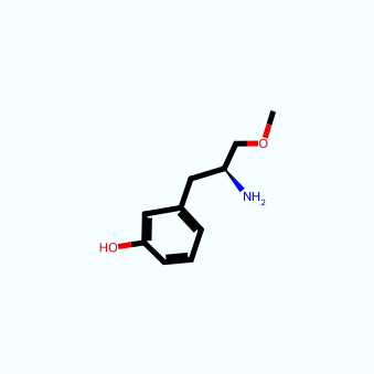 COC[C@@H](N)Cc1cccc(O)c1